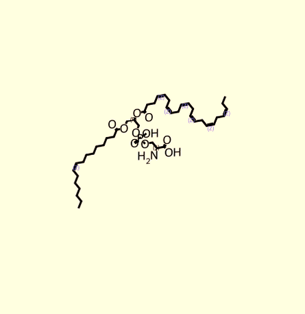 CC/C=C\C/C=C\C/C=C\C/C=C\C/C=C\C/C=C\CCC(=O)O[C@H](COC(=O)CCCCCCC/C=C\CCCCCC)COP(=O)(O)OC[C@H](N)C(=O)O